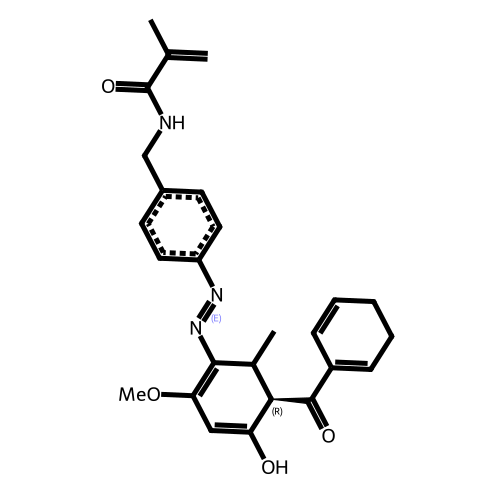 C=C(C)C(=O)NCc1ccc(/N=N/C2=C(OC)C=C(O)[C@H](C(=O)C3=CCCC=C3)C2C)cc1